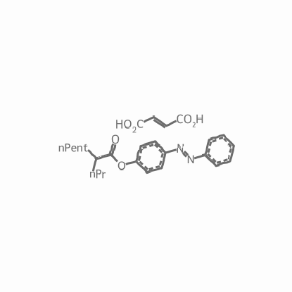 CCCCCC(CCC)C(=O)Oc1ccc(N=Nc2ccccc2)cc1.O=C(O)/C=C/C(=O)O